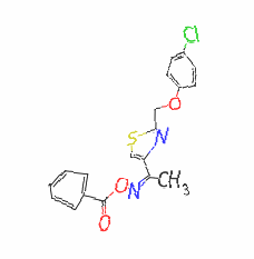 CC(=NOC(=O)c1ccccc1)c1csc(COc2ccc(Cl)cc2)n1